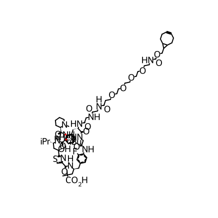 CCCCCCN(C(=O)[C@@H](NC(=O)[C@H]1CCCCN1C)[C@@H](C)CC)[C@H](C[C@@H](O)c1nc(C(=O)N[C@@H](Cc2ccc(NC(=O)CNC(=O)[C@H](Cc3ccccc3)NC(=O)CNC(=O)CNC(=O)CCOCCOCCOCCOCCNC(=O)OCC3C4CCC#CCCC43)c(F)c2)CC(C)(C)C(=O)O)cs1)C(C)C